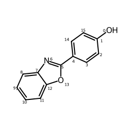 Oc1ccc(-c2nc3c[c]ccc3o2)cc1